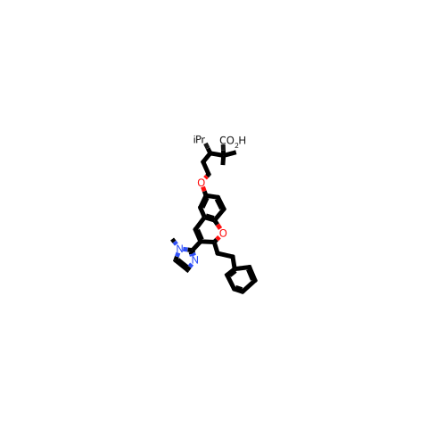 CC(C)C(CCOc1ccc2c(c1)C=C(c1nccn1C)C(CCc1ccccc1)O2)C(C)(C)C(=O)O